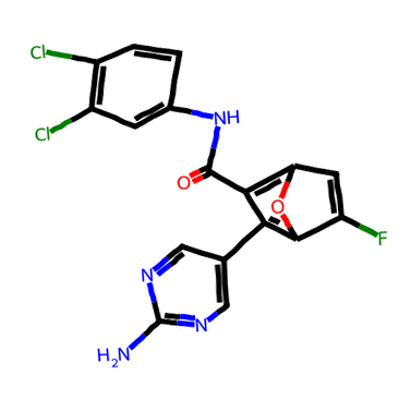 Nc1ncc(-c2c(C(=O)Nc3ccc(Cl)c(Cl)c3)c3cc(F)c2o3)cn1